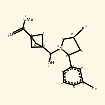 COC(=O)C12CC(C(O)N3CC(F)CC3c3cccc(F)c3)(C1)C2